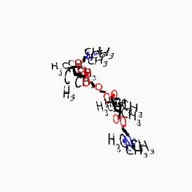 CC(C)C(C)(CC(C)(C)C(=O)OCCOCCOC(=O)C(C)(C)CC(C)(C(=O)OCC[N+](C)(C)C)C(C)C)C(=O)OCC[N+](C)(C)C